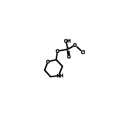 O=P(O)(OCl)OC1CNCCO1